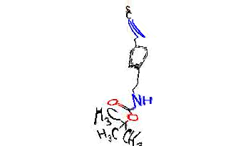 CC(C)(C)OC(=O)NCCc1ccc(CN=C=S)cc1